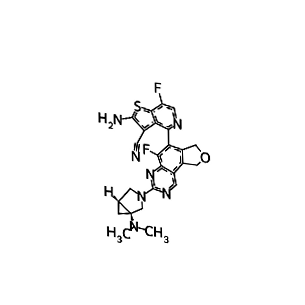 CN(C)[C@@]12C[C@@H]1CN(c1ncc3c4c(c(-c5ncc(F)c6sc(N)c(C#N)c56)c(F)c3n1)COC4)C2